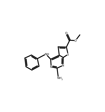 COC(=O)c1cc2c(Nc3ccccc3)nc(N)nc2s1